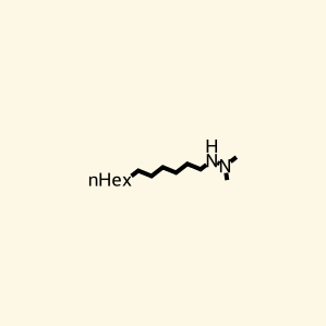 CCCCCCCCCCCCNN(C)C